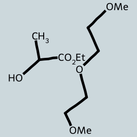 CCOC(=O)C(C)O.COCCOCCOC